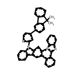 CC1(C)c2ccccc2-c2cc(-c3ccnc(-n4c5ccccc5c5cc6c7ccccc7c7nc8ccccc8n7c6cc54)c3)ccc21